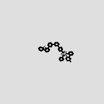 CC1C=C(c2ccccc2-c2nc(-c3ccccc3)nc(-c3ccc(-c4cccc(-c5cccc(-c6cccc7c6sc6ccccc67)c5)c4)cc3)n2)C=CC1